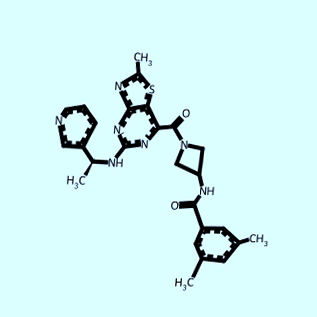 Cc1cc(C)cc(C(=O)NC2CN(C(=O)c3nc(N[C@@H](C)c4cccnc4)nc4nc(C)sc34)C2)c1